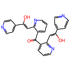 O=C(c1cccnc1C=C(O)c1ccncc1)c1cccnc1C=C(O)c1ccncc1